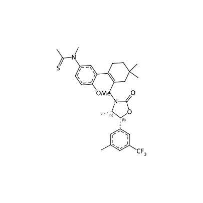 COc1ccc(N(C)C(C)=S)cc1C1=C(CN2C(=O)O[C@H](c3cc(C)cc(C(F)(F)F)c3)[C@@H]2C)CC(C)(C)CC1